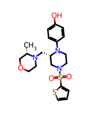 C[C@H]1COCCN1C[C@H]1CN(S(=O)(=O)c2cccs2)CCN1c1ccc(O)cc1